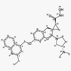 CCc1cc(COc2ccc(C[C@]3(C(=O)N4CC[C@H](N(C)C)C4)C[C@@H]3C(=O)NO)cc2)c2ccccc2n1